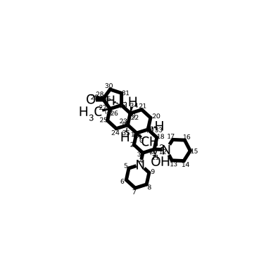 C[C@]12CC(N3CCCCC3)[C@](O)(N3CCCCC3)C[C@@H]1CC[C@@H]1[C@@H]2CC[C@]2(C)C(=O)CC[C@@H]12